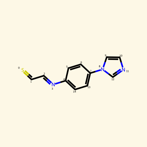 S=CC=Nc1ccc(-n2ccnc2)cc1